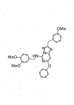 COc1cccc(Cc2nc3cc(Oc4ccccc4)nc(NCc4ccc(OC)c(OC)c4)n3n2)c1